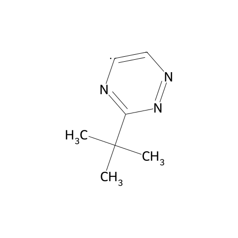 CC(C)(C)c1n[c]cnn1